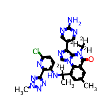 [2H]C([2H])([2H])n1c(=O)c2cc(C)cc([C@]([2H])(C)Nc3ccc(Cl)nc3-c3nnn(C)n3)c2n2cnc(-c3cnc(N)nc3)c12